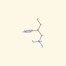 CCC(C#N)CN(C)C